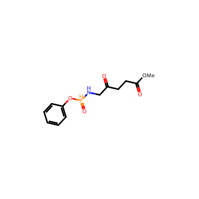 COC(=O)CCC(=O)CN[PH](=O)Oc1ccccc1